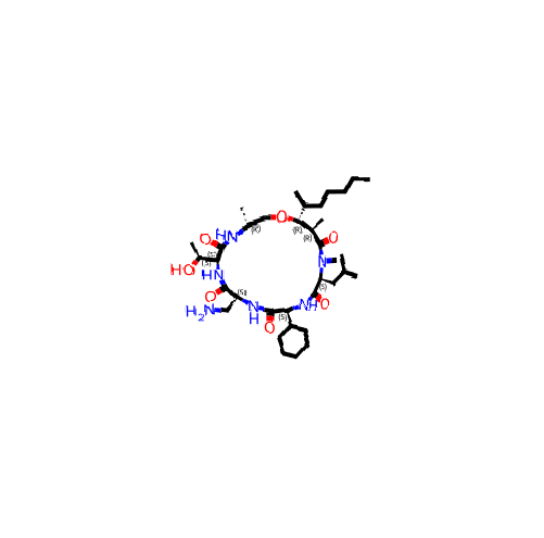 CCCCCC(C)[C@H]1OC[C@@H](C)NC(=O)[C@H]([C@H](C)O)NC(=O)[C@H](CN)NC(=O)[C@H](C2CCCCC2)NC(=O)[C@H](CC(C)C)N(C)C(=O)[C@@H]1C